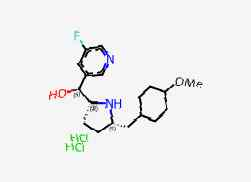 COC1CCC(C[C@@H]2CC[C@H]([C@@H](O)c3cncc(F)c3)N2)CC1.Cl.Cl